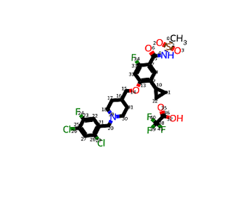 CS(=O)(=O)NC(=O)c1cc(C2CC2)c(OCC2CCN(Cc3cc(F)c(Cl)cc3Cl)CC2)cc1F.O=C(O)C(F)(F)F